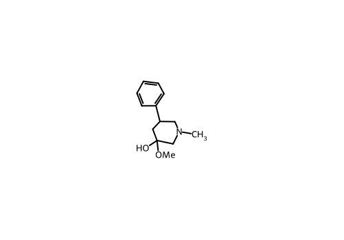 COC1(O)CC(c2ccccc2)CN(C)C1